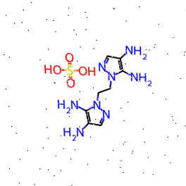 Nc1cnn(CCn2ncc(N)c2N)c1N.O=S(=O)(O)O